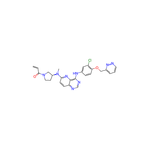 C=CC(=O)N1CC[C@H](N(C)c2ccc3ncnc(Nc4ccc(OCc5cccnn5)c(Cl)c4)c3n2)C1